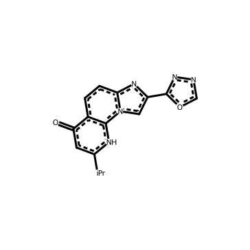 CC(C)c1cc(=O)c2ccc3nc(-c4nnco4)cn3c2[nH]1